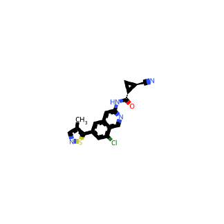 Cc1cnsc1-c1cc(Cl)c2cnc(NC(=O)[C@@H]3C[C@H]3C#N)cc2c1